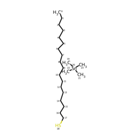 CCCCCCCCCCCCCCCCCCS.[CH3][Sn]([CH3])([CH3])[CH3]